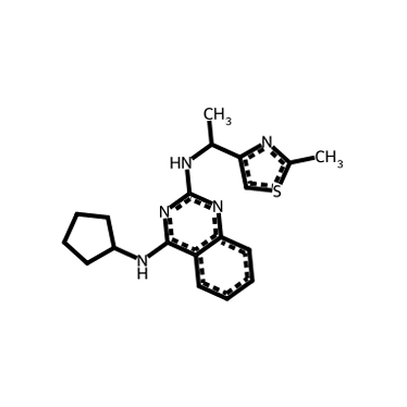 Cc1nc(C(C)Nc2nc(NC3CCCC3)c3ccccc3n2)cs1